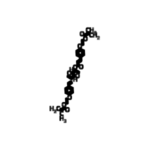 C=C(C)C(=O)OCCOc1ccc(C=C[C@@H]2CO[C@H]3[C@@H]2OC[C@H]3OC(=O)/C=C/c2ccc(OCCOC(=O)C(=C)C)cc2)cc1